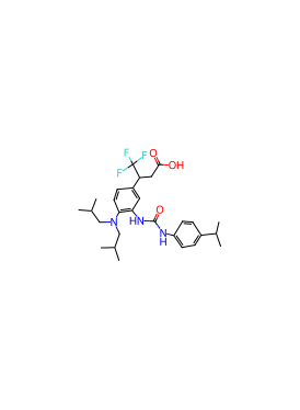 CC(C)CN(CC(C)C)c1ccc(C(CC(=O)O)C(F)(F)F)cc1NC(=O)Nc1ccc(C(C)C)cc1